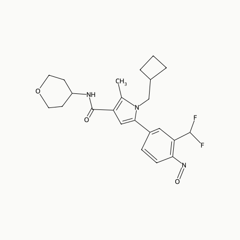 Cc1c(C(=O)NC2CCOCC2)cc(-c2ccc(N=O)c(C(F)F)c2)n1CC1CCC1